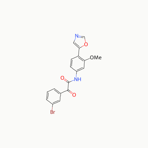 COc1cc(NC(=O)C(=O)c2cccc(Br)c2)ccc1-c1cnco1